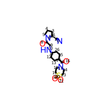 N#C[C@@H]1CCCN1C(=O)CNC1CCC(C(=O)N2CCS(=O)(=O)CC2)CC1